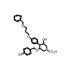 CCc1ccc(COC2CN(C(=O)O)CC(O)C2c2ccc(OCCCOCc3ccccc3)cc2)cc1